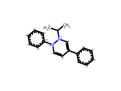 CC(C)N1C=C(c2ccccc2)C=CN1c1ccccc1